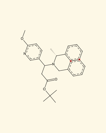 COc1ccc(C(CC(=O)OC(C)(C)C)N(Cc2ccccc2)[C@H](C)c2ccccc2)cn1